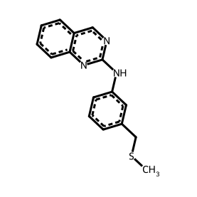 CSCc1cccc(Nc2ncc3ccccc3n2)c1